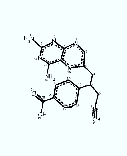 C#CCC(Cc1cnc2nc(N)nc(N)c2n1)c1ccc(C(=O)O)cc1